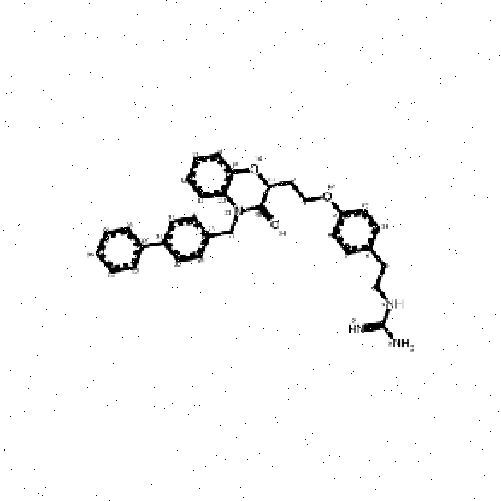 N=C(N)NCCc1ccc(OCCC2Oc3ccccc3N(Cc3ccc(-c4ccccc4)cc3)C2=O)cc1